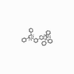 c1ccc(-c2cc(-c3ccccc3)nc(-c3cccc(-c4ccc5c(c4)C(c4ccccc4)(c4ccccc4)c4nc6ccccc6n4-5)c3)n2)cc1